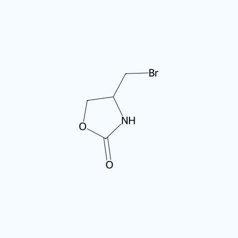 O=C1NC(CBr)CO1